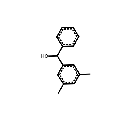 Cc1cc(C)cc(C(O)c2ccccc2)c1